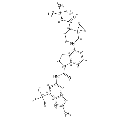 Cc1cn2cc(NC(=O)N3CCc4c(N5CCN(C(=O)OC(C)(C)C)C6(CC6)C5)ccnc43)cc(C(F)(F)F)c2n1